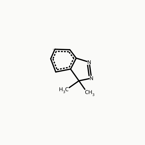 CC1(C)N=Nc2c[c]ccc21